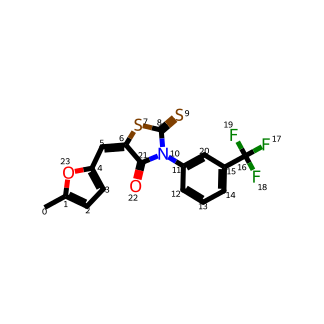 Cc1ccc(/C=C2/SC(=S)N(c3cccc(C(F)(F)F)c3)C2=O)o1